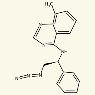 Cc1cccc2c(N[C@H](CN=[N+]=[N-])c3ccccc3)ncnc12